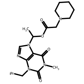 CC(C)Cn1c(=O)n(C)c(=O)c2c1ncn2C(C)OC(=O)CN1CCCCC1